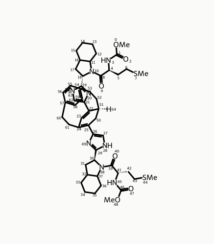 COC(=O)N[C@@H](CCSC)C(=O)N1C2CCCCC2C[C@H]1c1nc(C2=CC3=C(c4c[nH]c([C@@H]5CC6CCCCC6N5C(=O)[C@H](CCSC)NC(=O)OC)n4)C[C@@H]2CCc2ccc(cc2)CC3)c[nH]1